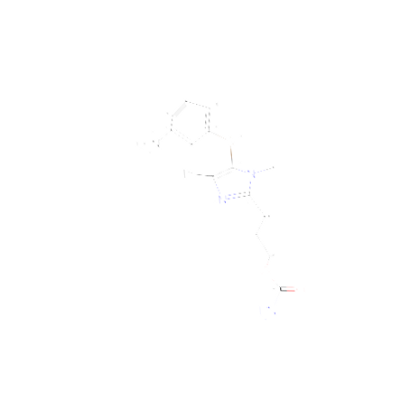 CC(C)c1nc(CCCOC(N)=O)n(C)c1Sc1cccc([N+](=O)[O-])c1